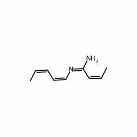 C\C=C/C=C\N=C(N)/C=C\C